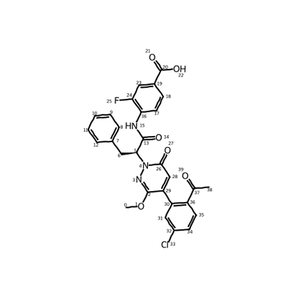 COc1nn([C@@H](Cc2ccccc2)C(=O)Nc2ccc(C(=O)O)cc2F)c(=O)cc1-c1cc(Cl)ccc1C(C)=O